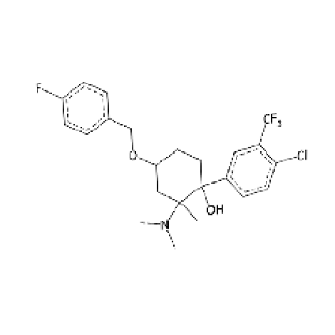 CN(C)C1(C)CC(OCc2ccc(F)cc2)CCC1(O)c1ccc(Cl)c(C(F)(F)F)c1